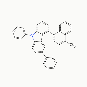 Cc1ccc(-c2cccc3c2c2cc(-c4ccccc4)ccc2n3-c2ccccc2)c2ccccc12